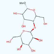 CO[C@@H]1OC(CO)[C@@H](O[C@@H]2OC(CO)[C@H](O)C(O)[C@@H]2O)[C@H](O)C1O